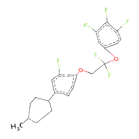 CC1CCC(c2ccc(OCC(F)(F)Oc3cc(F)c(F)c(F)c3)c(F)c2)CC1